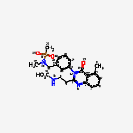 Cc1cccc2nc(CCNC(=O)O)n(-c3cccc(CN(C)S(C)(=O)=O)c3)c(=O)c12